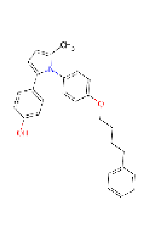 Cc1ccc(-c2ccc(O)cc2)n1-c1ccc(OCCCCc2ccccc2)cc1